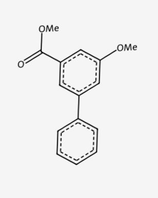 COC(=O)c1cc(OC)cc(-c2ccccc2)c1